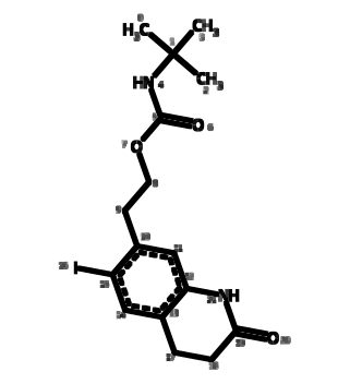 CC(C)(C)NC(=O)OCCc1cc2c(cc1I)CCC(=O)N2